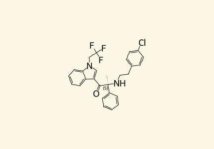 C[C@@](NCCc1ccc(Cl)cc1)(C(=O)c1cn(CC(F)(F)F)c2ccccc12)c1ccccc1